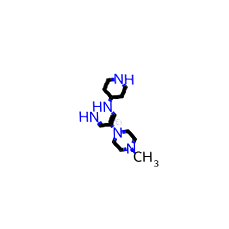 CN1CCN(/C(C=N)=C/NC2CCNCC2)CC1